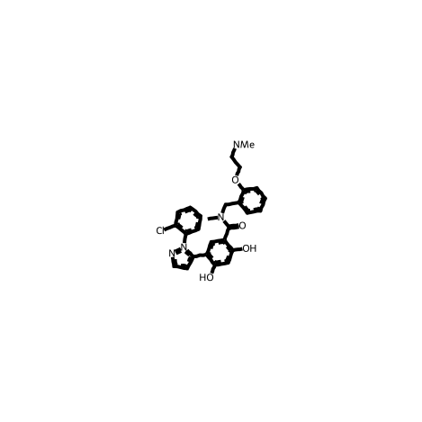 CNCCOc1ccccc1CN(C)C(=O)c1cc(-c2ccnn2-c2ccccc2Cl)c(O)cc1O